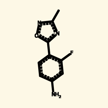 Cc1noc(-c2ccc(N)cc2F)n1